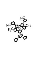 N#Cc1cccc(-c2ccc3c(c2)c2cc(-c4cccc(C#N)c4)ccc2n3-c2c(-c3ccc(C(F)(F)F)cc3)cc(-c3nc(-c4ccccc4)cc(-c4ccccc4)n3)cc2-c2ccc(C(F)(F)F)cc2)c1